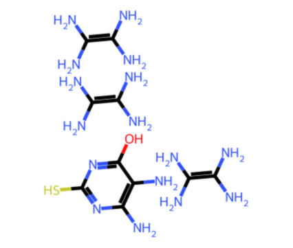 NC(N)=C(N)N.NC(N)=C(N)N.NC(N)=C(N)N.Nc1nc(S)nc(O)c1N